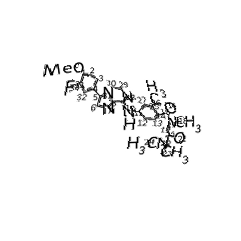 COc1ccc(-c2cnc3c(Nc4ccc(C(=O)N(C)CC(=O)N(C)C)c(C)c4)nccn23)cc1F